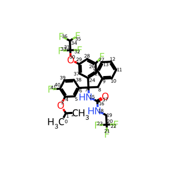 CC(C)Oc1cc(C(Cc2ccccc2)(NC(=O)NCC(F)(F)F)c2cc(F)cc(OC(F)(F)C(F)F)c2)ccc1F